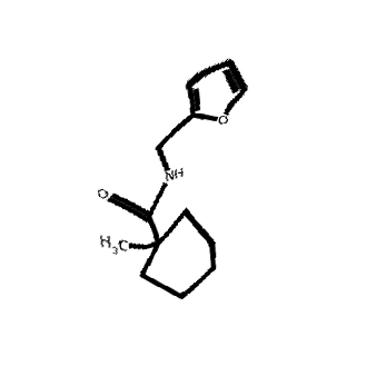 CC1(C(=O)NCc2ccco2)CCCCC1